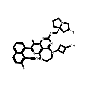 C#Cc1c(F)ccc2cccc(-c3nc4c5c(nc(OC[C@@]67CCCN6C[C@H](F)C7)nc5c3F)N(C3CC(O)C3)CCO4)c12